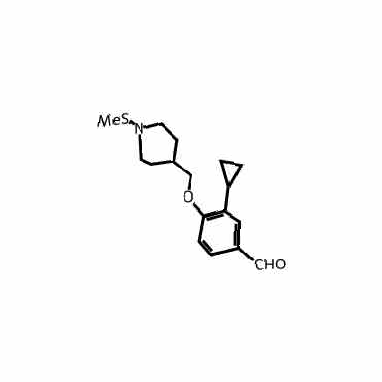 CSN1CCC(COc2ccc(C=O)cc2C2CC2)CC1